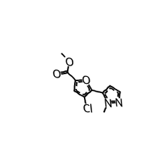 COC(=O)c1cc(Cl)c(-c2ccnn2C)o1